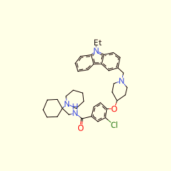 CCn1c2ccccc2c2cc(CN3CCC(Oc4ccc(C(=O)NCC5(N6CCCCC6)CCCCC5)cc4Cl)CC3)ccc21